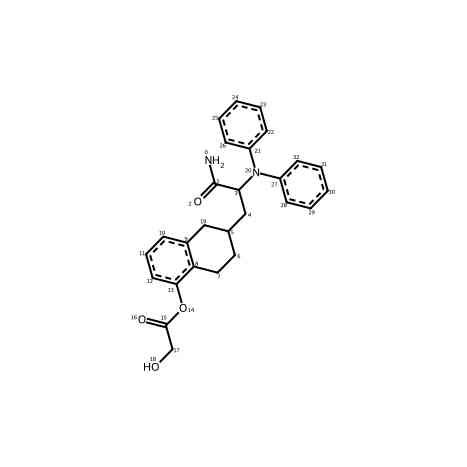 NC(=O)C(CC1CCc2c(cccc2OC(=O)CO)C1)N(c1ccccc1)c1ccccc1